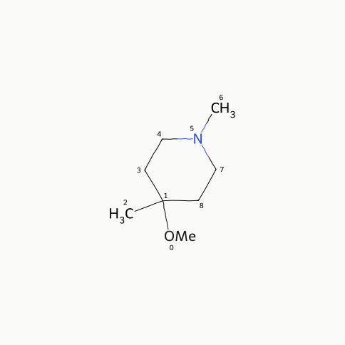 COC1(C)CCN(C)CC1